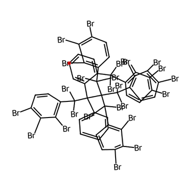 Brc1ccc(C(Br)(Br)c2ccccc2C(c2ccccc2)(C(Br)(Br)c2ccc(Br)c(Br)c2Br)C(C(Br)(Br)c2ccc(Br)c(Br)c2Br)(C(Br)(Br)c2ccc(Br)c(Br)c2Br)C(Br)(Br)c2ccc(Br)c(Br)c2Br)c(Br)c1Br